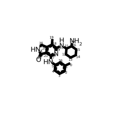 Cc1cccc(Nc2nc(NC3CCCCC3N)c(C)c3c2C(=O)NC3)c1